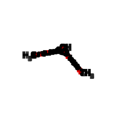 CCCCCC=CCC=CCCCCCCCCOc1ccc(OCCCCCCCCC=CCC=CCCCCC)c(CO)c1